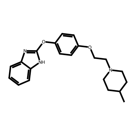 CC1CCN(CCOc2ccc(Oc3nc4ccccc4[nH]3)cc2)CC1